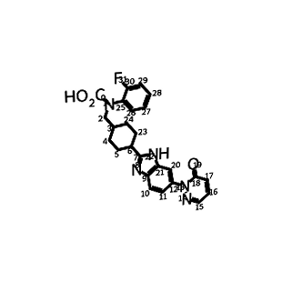 O=C(O)N(CC1CCC(c2nc3ccc(-n4ncccc4=O)cc3[nH]2)CC1)c1ccccc1F